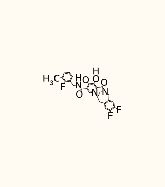 Cc1cccc(CNC(=O)c2cn3c(c(O)c2=O)C(=O)N2Cc4cc(F)c(F)cc4CC3C2)c1F